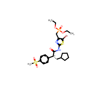 CCOP(=O)(Cc1nc(NC(=O)[C@H](CC2CCCC2)c2ccc(S(C)(=O)=O)cc2)sc1Br)OCC